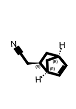 N#CC[C@H]1C[C@H]2C=C[C@@H]1C2